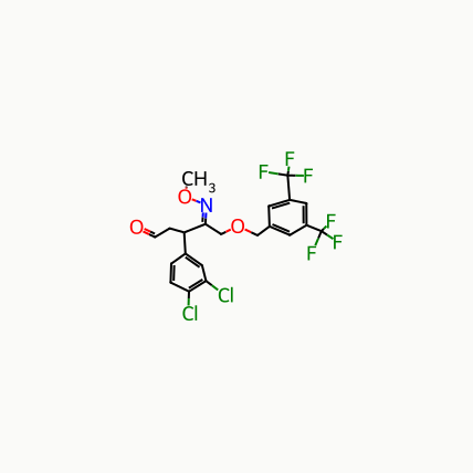 CON=C(COCc1cc(C(F)(F)F)cc(C(F)(F)F)c1)C(CC=O)c1ccc(Cl)c(Cl)c1